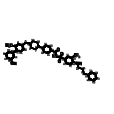 Cc1cc(CN2CCN(c3ccc(C(=O)NS(=O)(=O)c4ccc(NCCSc5ccccc5)c(C(F)(F)F)c4)cc3)CC2)ccc1-c1cccc(O)c1